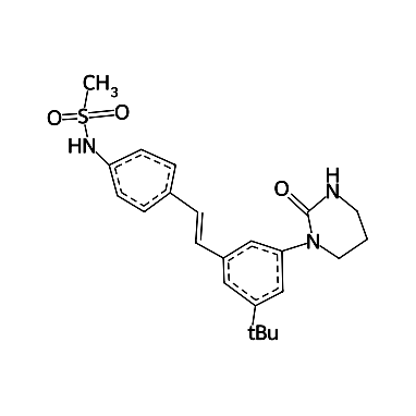 CC(C)(C)c1cc(C=Cc2ccc(NS(C)(=O)=O)cc2)cc(N2CCCNC2=O)c1